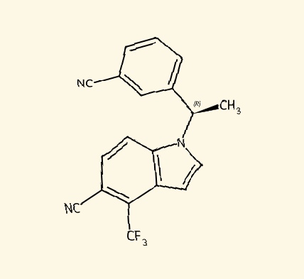 C[C@H](c1cccc(C#N)c1)n1ccc2c(C(F)(F)F)c(C#N)ccc21